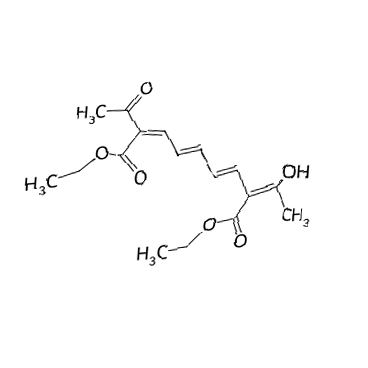 CCOC(=O)C(=CC=CC=C/C(C(=O)OCC)=C(/C)O)C(C)=O